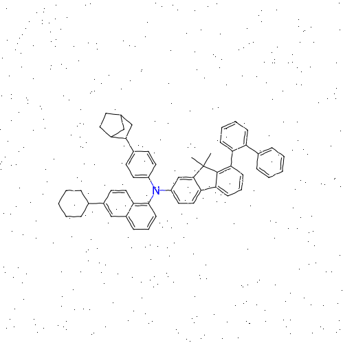 CC1(C)c2cc(N(c3ccc(C4CC5CCC4C5)cc3)c3cccc4cc(C5CCCCC5)ccc34)ccc2-c2cccc(-c3ccccc3-c3ccccc3)c21